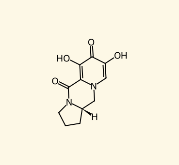 O=C1c2c(O)c(=O)c(O)cn2C[C@@H]2CCCN12